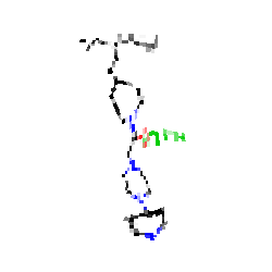 CC(CCC1CCN(C(=O)CN2CCN(c3ccncc3)CC2)CC1)C(=O)O.Cl.Cl